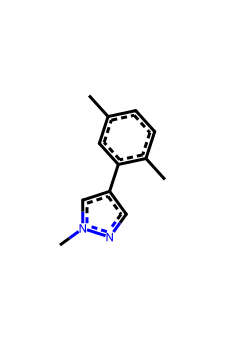 Cc1ccc(C)c(-c2cnn(C)c2)c1